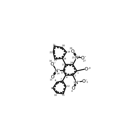 [O]c1c([N+](=O)[O-])c(-c2ccccc2)c([N+](=O)[O-])c(-c2ccccc2)c1[N+](=O)[O-]